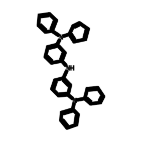 c1ccc(N(c2ccccc2)c2cccc(Nc3cccc(N(c4ccccc4)c4ccccc4)c3)c2)cc1